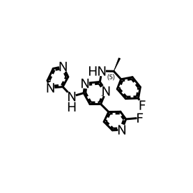 C[C@H](Nc1nc(Nc2cnccn2)cc(-c2ccnc(F)c2)n1)c1ccc(F)cc1